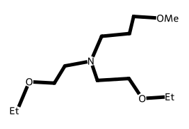 CCOCCN(CCCOC)CCOCC